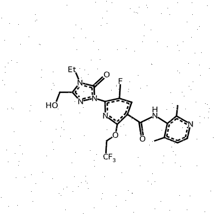 CCn1c(CO)nn(-c2nc(OCC(F)(F)F)c(C(=O)Nc3c(C)ccnc3C)cc2F)c1=O